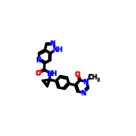 Cn1cncc(-c2ccc(C3(NC(=O)c4cc5[nH]ncc5cn4)CC3)cc2)c1=O